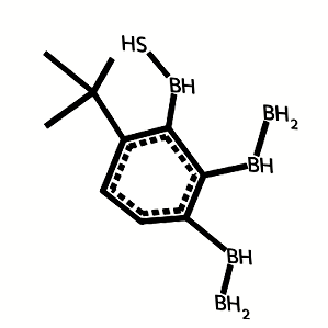 BBc1ccc(C(C)(C)C)c(BS)c1BB